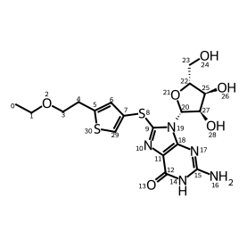 CCOCCc1cc(Sc2nc3c(=O)[nH]c(N)nc3n2[C@@H]2O[C@H](CO)[C@@H](O)[C@H]2O)cs1